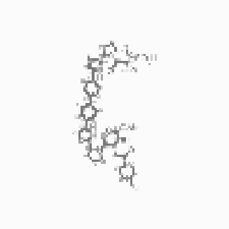 COC(=O)N[C@@H](CC(=O)N1CCN(C)CC1)C(=O)N1CCCC1c1ncc(-c2ccc(-c3ccc(-c4cnc([C@@H]5CCCN5C(=O)[C@H](C(C)C)N(C)C(=O)O)[nH]4)cc3)cc2)[nH]1